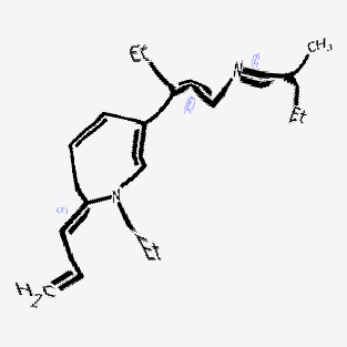 C=C/C=C1/C=CC(/C(=C/N=C(/C)CC)CC)=CN1CC